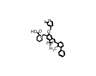 Cc1c(C=Cc2cc(OCc3ccnc(I)c3)c(CN3CCCCC3C(=O)O)cc2C(F)(F)F)cccc1-c1ccccc1